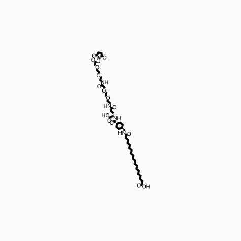 O=C(O)CCCCCCCCCCCCCCCCCCC(=O)NC[C@H]1CC[C@H](C(=O)N[C@@H](CCC(=O)NCCOCCOCC(=O)NCCOCCOCC(=O)ON2C(=O)CCC2=O)C(=O)O)CC1